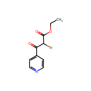 CCOC(=O)C(Br)C(=O)c1ccncc1